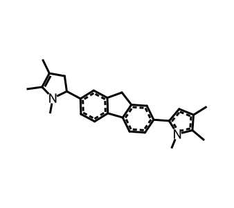 CC1=C(C)N(C)C(c2ccc3c(c2)Cc2cc(-c4cc(C)c(C)n4C)ccc2-3)C1